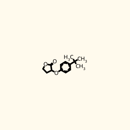 CC(C)(C)c1ccc(OC2CCOC2=O)cc1